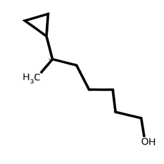 C[C](CCCCCO)C1CC1